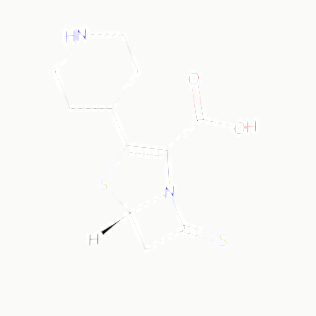 O=C(O)C1=C(C2CCNCC2)S[C@H]2CC(=S)N12